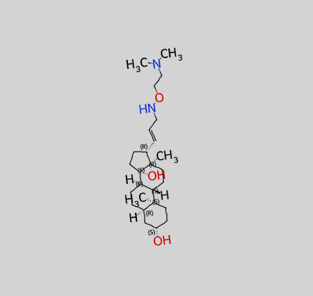 CN(C)CCONCC=C[C@H]1CC[C@]2(O)[C@@H]3CC[C@@H]4C[C@@H](O)CC[C@]4(C)[C@H]3CC[C@]12C